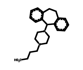 O=C(O)CCCN1CCN(C2c3ccccc3CCc3ccccc32)CC1